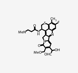 CNCCC(=O)NC1CSc2c(C)c(F)cc3nc4c(c1c23)Cn1c-4cc(C(O)C=O)c(COC)c1=O